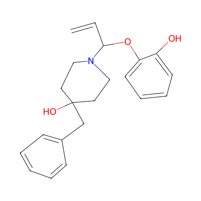 C=CC(Oc1ccccc1O)N1CCC(O)(Cc2ccccc2)CC1